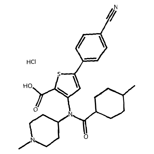 CC1CCC(C(=O)N(c2cc(-c3ccc(C#N)cc3)sc2C(=O)O)C2CCN(C)CC2)CC1.Cl